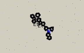 CCC1(CC)c2cc(-c3ccc4c(c3)c3ccccc3n4-c3ccc4ccccc4c3)ccc2-c2ccc([Si](c3ccccc3)(c3ccccc3)c3ccccc3)cc21